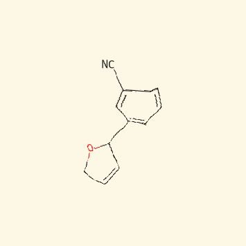 N#Cc1cccc(C2C=CCO2)c1